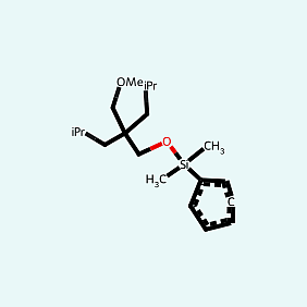 COCC(CO[Si](C)(C)c1ccccc1)(CC(C)C)CC(C)C